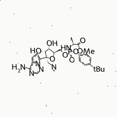 C=NC[C@@]1(c2ccc3c(N)ncnn23)O[C@H](COP(=O)(N[C@@H](C)C(=O)OC)Oc2ccc(C(C)(C)C)cc2)[C@@H](O)[C@H]1O